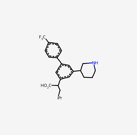 CC(C)CC(C(=O)O)c1cc(-c2ccc(C(F)(F)F)cc2)cc(C2CCCNC2)c1